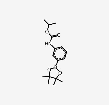 CC(C)OC(=O)Nc1cccc(B2OC(C)(C)C(C)(C)O2)c1